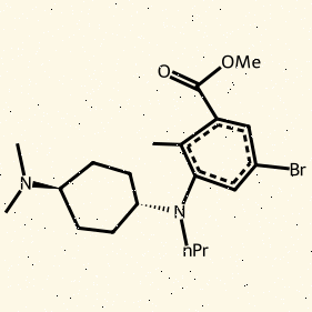 CCCN(c1cc(Br)cc(C(=O)OC)c1C)[C@H]1CC[C@H](N(C)C)CC1